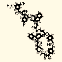 CN(CCCC(=O)Oc1ccc(CNCc2ccc(C(=O)N(C)CCN3CCC(OC(=O)Nc4ccccc4-c4ccccc4)CC3)cc2)cc1)C(=O)CO[C@H]1Cc2ccccc2C12CCN(CC[C@@]1(c3ccc(F)cc3)CN(C(=O)c3cc(C(F)(F)F)cc(C(F)(F)F)c3)CO1)CC2